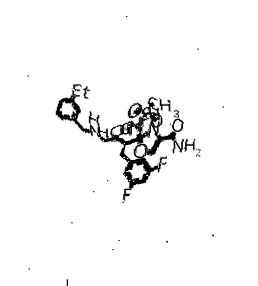 CCc1cccc(CNC[C@H](O)[C@H](Cc2cc(F)cc(F)c2)C2(N(C)S(C)(=O)=O)NC(C(N)=O)=CO2)c1